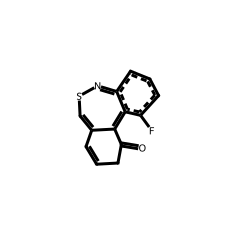 O=C1CC=CC2=CSN=c3cccc(F)c3=C12